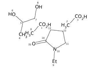 CC(=O)O.CC(=O)O.CC(O)CO.CCN1CCCC1=O